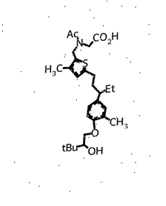 CCC(CCc1cc(C)c(CN(CC(=O)O)C(C)=O)s1)c1ccc(OCC(O)C(C)(C)C)c(C)c1